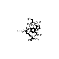 CC(C)C[C@H](N)C(=O)O.Cc1cnco1.N=C(N)NCCC[C@H](N)C(=O)O.O=C(O)Cc1ccc(C(F)(F)F)cc1